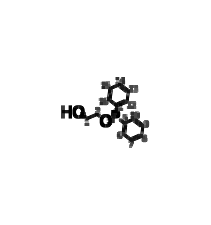 OCCOP(c1ccccc1)c1ccccc1